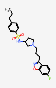 CCCc1ccc(S(=O)(=O)NC2CCN(CCCc3noc4cc(F)ccc34)C2)cc1